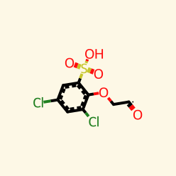 O=[C]COc1c(Cl)cc(Cl)cc1S(=O)(=O)O